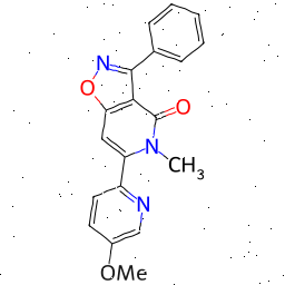 COc1ccc(-c2cc3onc(-c4ccccc4)c3c(=O)n2C)nc1